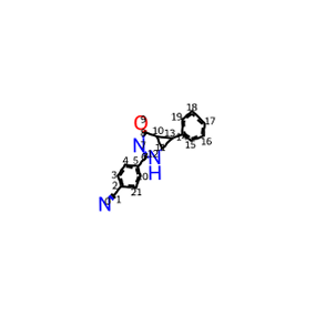 N#Cc1ccc(C2=NC(=O)C3C(N2)C3c2ccccc2)cc1